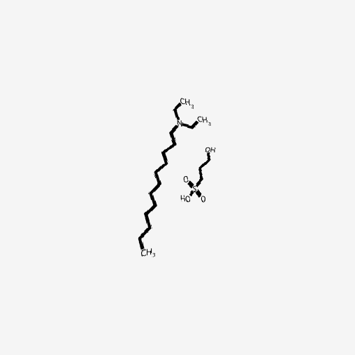 CCCCCCCCCCCCN(CC)CC.O=S(=O)(O)CCCO